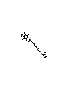 C=C(CCCCCCCCCCC(N)=O)Oc1c(C)c(C)c(F)c(F)c1C